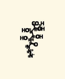 [N-]=[N+]=NC(=O)[C@H](O)[C@@H](O)[C@H](O)[C@H](O)C(=O)O